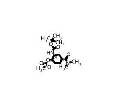 CN(C)C(=O)[C@H]1CC[C@@H](OS(C)(=O)=O)[C@H](NC(=O)OC(C)(C)C)C1